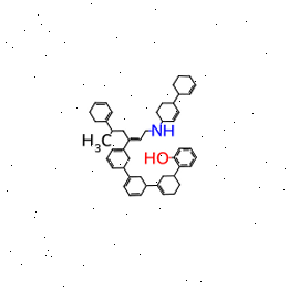 CC(C/C(=C\CNC1C=CC(C2C=CCCC2)CC1)C1=CC=CC(C2=CC=CC(C3=CCCC(c4ccccc4O)C3)C2)C1)C1=CC=CCC1